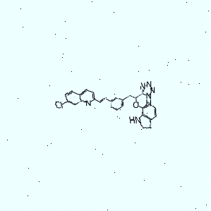 Clc1ccc2ccc(/C=C/c3cccc(CC(Oc4cccc5c4NCC5)c4nnn[nH]4)c3)nc2c1